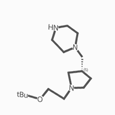 CC(C)(C)OCCN1CC[C@@H](CN2CCNCC2)C1